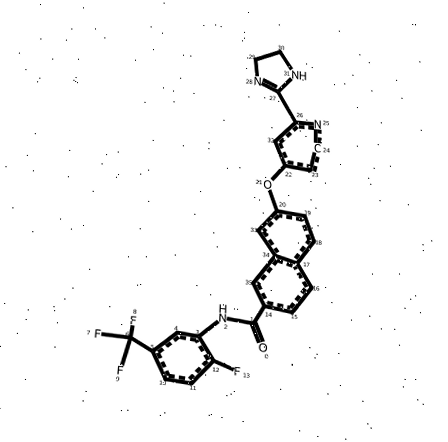 O=C(Nc1cc(C(F)(F)F)ccc1F)c1ccc2ccc(Oc3ccnc(C4=NCCN4)c3)cc2c1